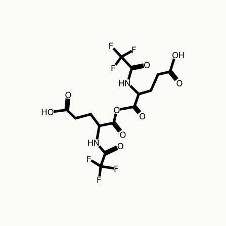 O=C(O)CCC(NC(=O)C(F)(F)F)C(=O)OC(=O)C(CCC(=O)O)NC(=O)C(F)(F)F